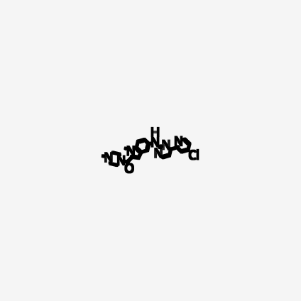 CN1CCN(C(=O)c2cc3cc(Nc4nccc(-c5cc(Cl)ccn5)n4)ccc3n2C)CC1